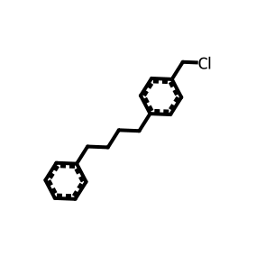 ClCc1ccc(CCCCc2ccccc2)cc1